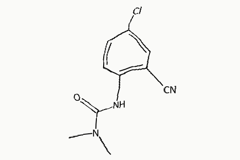 CN(C)C(=O)Nc1ccc(Cl)cc1C#N